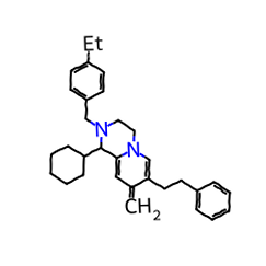 C=C1C=C2C(C3CCCCC3)N(Cc3ccc(CC)cc3)CCN2C=C1CCc1ccccc1